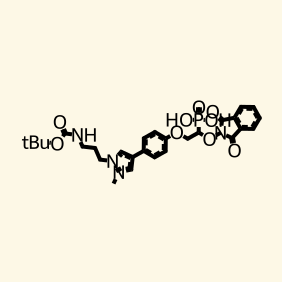 C[n+]1cc(-c2ccc(OCC(ON3C(=O)c4ccccc4C3=O)P(=O)(O)O)cc2)cn1CCCNC(=O)OC(C)(C)C